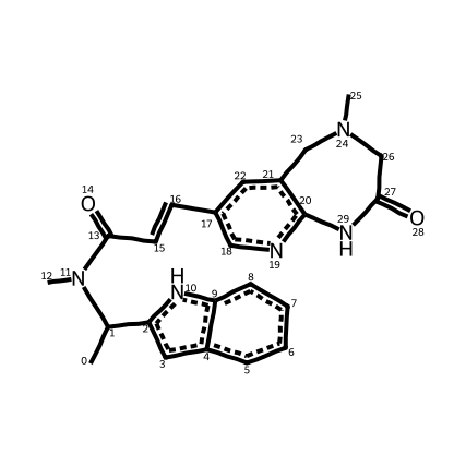 CC(c1cc2ccccc2[nH]1)N(C)C(=O)/C=C/c1cnc2c(c1)CN(C)CC(=O)N2